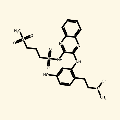 C[S+]([O-])CCc1ccc(O)cc1Nc1nc2ccccc2nc1NS(=O)(=O)CCCS(C)(=O)=O